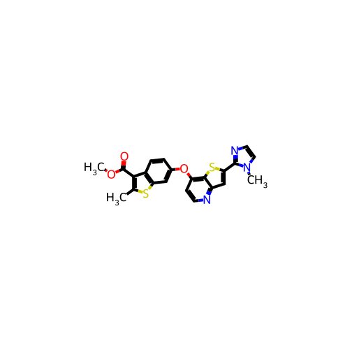 COC(=O)c1c(C)sc2cc(Oc3ccnc4cc(-c5nccn5C)sc34)ccc12